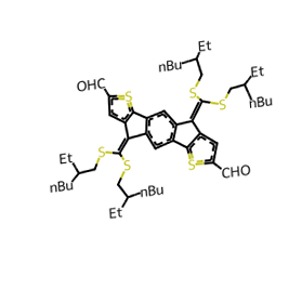 CCCCC(CC)CSC(SCC(CC)CCCC)=C1c2cc3c(cc2-c2sc(C=O)cc21)C(=C(SCC(CC)CCCC)SCC(CC)CCCC)c1cc(C=O)sc1-3